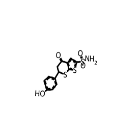 NS(=O)(=O)c1cc2c(s1)SC(c1ccc(O)cc1)CC2=O